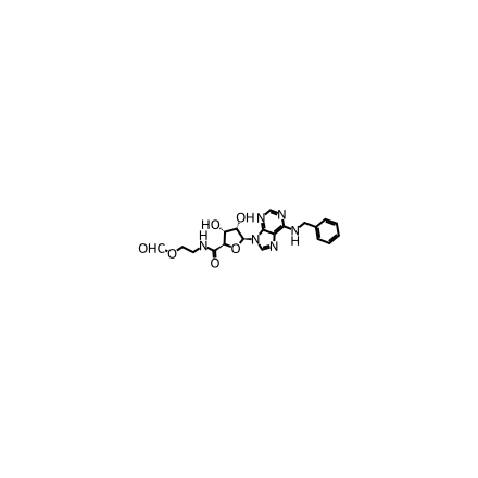 O=COCCNC(=O)[C@@H]1O[C@H](n2cnc3c(NCc4ccccc4)ncnc32)[C@@H](O)[C@H]1O